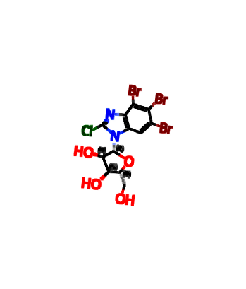 OC[C@H]1O[C@@H](n2c(Cl)nc3c(Br)c(Br)c(Br)cc32)[C@H](O)[C@@H]1O